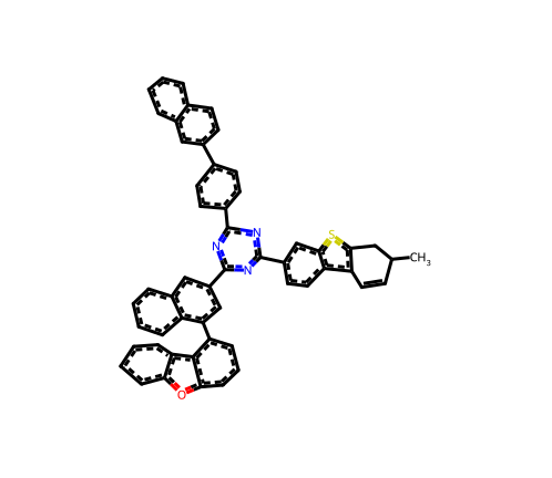 CC1C=Cc2c(sc3cc(-c4nc(-c5ccc(-c6ccc7ccccc7c6)cc5)nc(-c5cc(-c6cccc7oc8ccccc8c67)c6ccccc6c5)n4)ccc23)C1